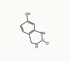 [O-][S+]1NCc2ccc(O)cc2N1